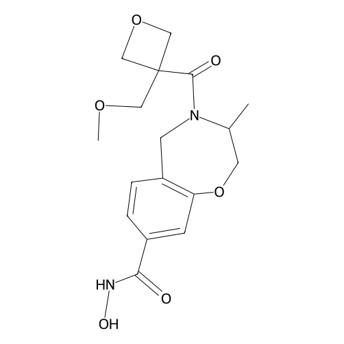 COCC1(C(=O)N2Cc3ccc(C(=O)NO)cc3OCC2C)COC1